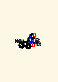 CCN(CC)C(=O)Nn1c(CN2CCOCC2)c2c3c(cccc31)C1=CCCN(C#N)[C@@H]1C2